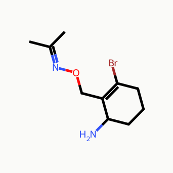 CC(C)=NOCC1=C(Br)CCCC1N